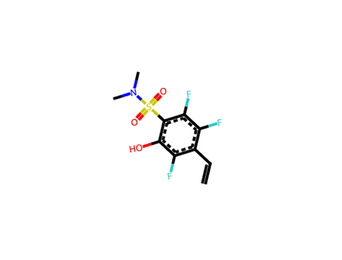 C=Cc1c(F)c(O)c(S(=O)(=O)N(C)C)c(F)c1F